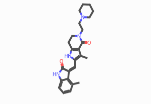 Cc1cccc2c1C(=Cc1[nH]c3c(c1C)C(=O)N(CCN1CCCCC1)CC3)C(=O)N2